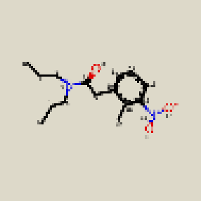 CCCN(CCC)C(=O)Cc1cccc([N+](=O)[O-])c1C